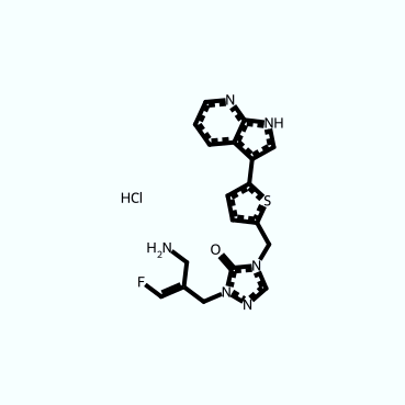 Cl.NC/C(=C\F)Cn1ncn(Cc2ccc(-c3c[nH]c4ncccc34)s2)c1=O